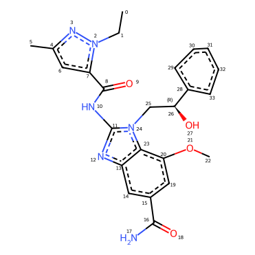 CCn1nc(C)cc1C(=O)Nc1nc2cc(C(N)=O)cc(OC)c2n1C[C@H](O)c1ccccc1